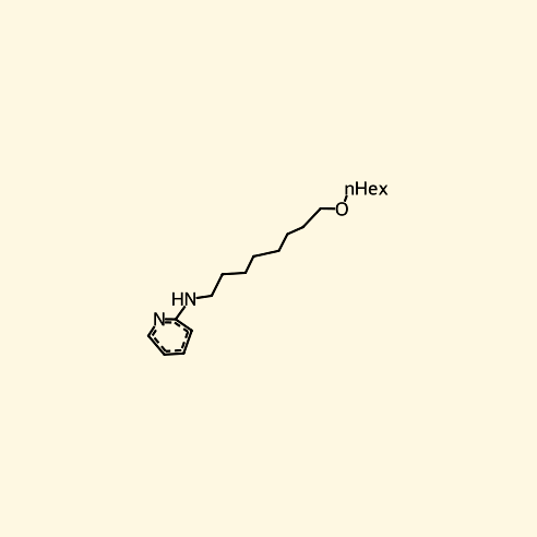 CCCCCCOCCCCCCCCNc1ccccn1